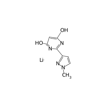 Cn1ccc(-c2nc(O)cc(O)n2)n1.[Li]